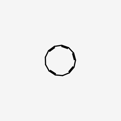 [C]1=CCC=CC=CC=CC=CCC1